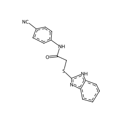 N#Cc1ccc(NC(=O)CSc2nc3ccccc3[nH]2)cc1